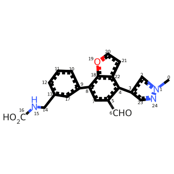 Cn1cc(-c2c(C=O)cc(-c3cccc(CNC(=O)O)c3)c3occc23)cn1